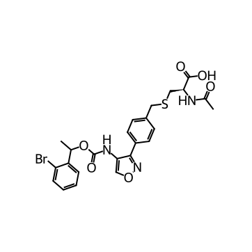 CC(=O)N[C@@H](CSCc1ccc(-c2nocc2NC(=O)OC(C)c2ccccc2Br)cc1)C(=O)O